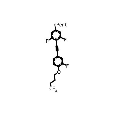 CCCCCc1cc(F)c(C#Cc2ccc(OCCCC(F)(F)F)c(F)c2)c(F)c1